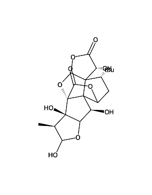 C[C@@H]1C(O)OC2[C@H](O)C34C5C[C@@H](C(C)(C)C)C36C(OC(=O)[C@@H]6O)O[C@@]4(C(=O)O5)[C@]21O